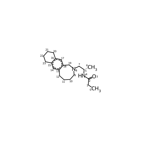 CCC(=O)N[C@@H](C)CN1CCCCc2cc3c(cc2C1)CCCC3